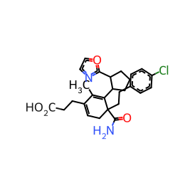 CC1=C(C2CCCC2c2ncco2)C(CCc2ccc(Cl)cc2)(C(N)=O)CC=C1CCC(=O)O